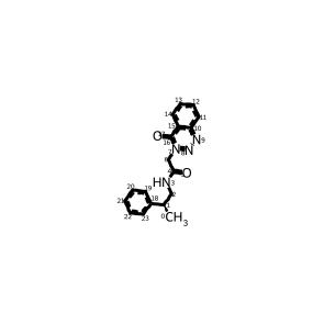 C[C@H](CNC(=O)Cn1nnc2ccccc2c1=O)c1ccccc1